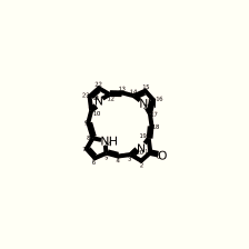 O=C1Cc2cc3ccc(cc4nc(cc5ccc(cc1n2)[nH]5)C=C4)[nH]3